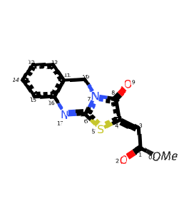 COC(=O)C=c1sc2n(c1=O)Cc1ccccc1N=2